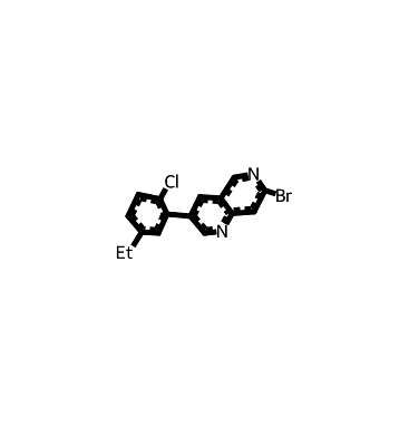 CCc1ccc(Cl)c(-c2cnc3cc(Br)ncc3c2)c1